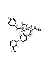 N#Cc1cccc(-c2ccc3c(c2)[C@H]2[C@H](CCN2Cc2ccncc2)[C@@H](CO)N3)c1